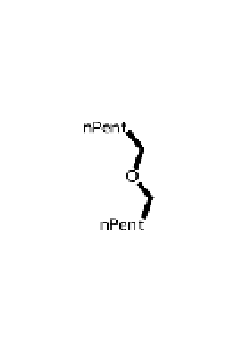 [CH2]CCCCCOCCCCCC